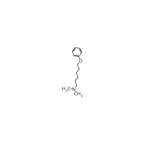 CN(C)CCCCCCOc1ccccc1